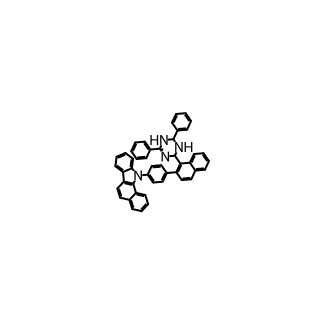 c1ccc(C2=NC(c3c(-c4ccc(-n5c6ccccc6c6ccc7ccccc7c65)cc4)ccc4ccccc34)NC(c3ccccc3)N2)cc1